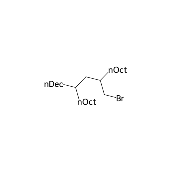 CCCCCCCCCCC(CCCCCCCC)CC(CBr)CCCCCCCC